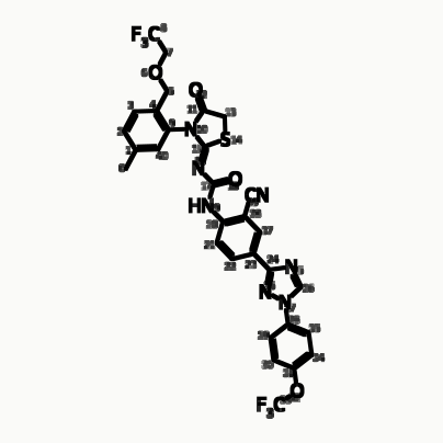 Cc1ccc(COCC(F)(F)F)c(N2C(=O)CS/C2=N\C(=O)Nc2ccc(-c3ncn(-c4ccc(OC(F)(F)F)cc4)n3)cc2C#N)c1